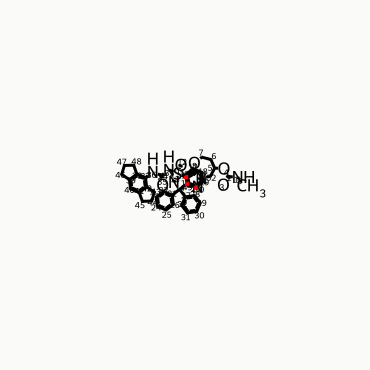 CNC(=O)OC1CCOc2c(S(=O)(=NC(c3ccccc3)(c3ccccc3)c3ccccc3)NC(=O)Nc3c4c(cc5c3CCC5)CCC4)cnn2C1